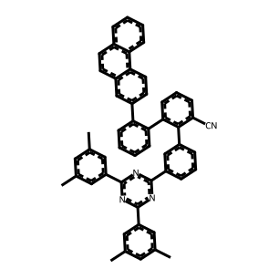 Cc1cc(C)cc(-c2nc(-c3cc(C)cc(C)c3)nc(-c3cccc(-c4c(C#N)cccc4-c4ccccc4-c4ccc5c(ccc6ccccc65)c4)c3)n2)c1